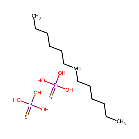 CCCCC[CH2][Mo][CH2]CCCCC.OP(O)(O)=S.OP(O)(O)=S